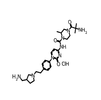 CC1CN(C(=O)C(C)(C)N)CCN1C(=O)Nc1ccn(-c2ccc(CCN3CCC(CN)C3)cc2)c(=O)n1.Cl